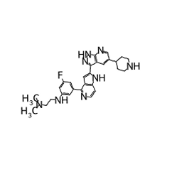 CN(C)CCNc1cc(F)cc(-c2nccc3[nH]c(-c4n[nH]c5ncc(C6CCNCC6)cc45)cc23)c1